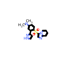 CN(C)c1ccc(S(=O)(=O)c2cnc3ccccn23)c(-c2cc[nH]n2)c1